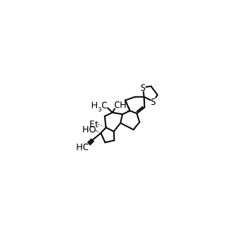 C#C[C@]1(O)CCC2C3CCC4=CC5(CCC4C3C(C)(C)C[C@@]21CC)SCCS5